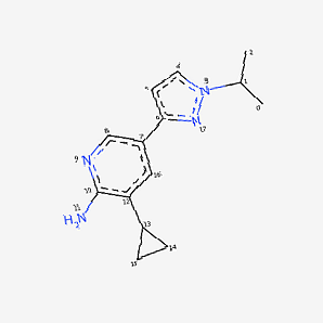 CC(C)n1ccc(-c2cnc(N)c(C3CC3)c2)n1